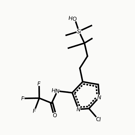 CC(C)(CCc1cnc(Cl)nc1NC(=O)C(F)(F)F)[Si](C)(C)O